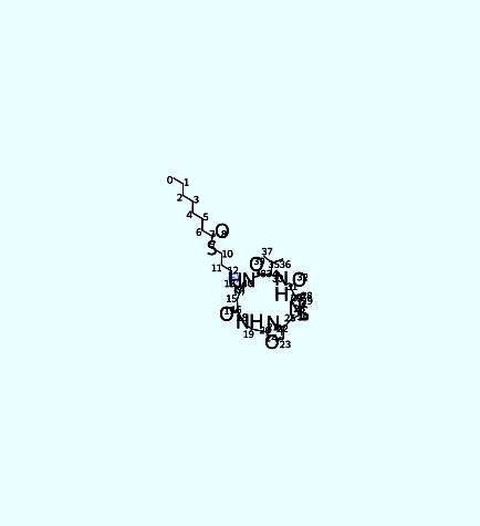 CCCCCCCC(=O)SCC/C=C/[C@@H]1CC(=O)NCc2nc(co2)C2=N[C@@](C)(CS2)C(=O)NC(C(C)C)C(=O)N1